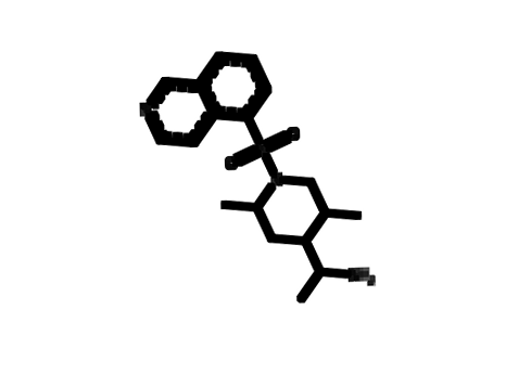 CC(N)C1CC(C)N(S(=O)(=O)c2cccc3cnccc23)CC1C